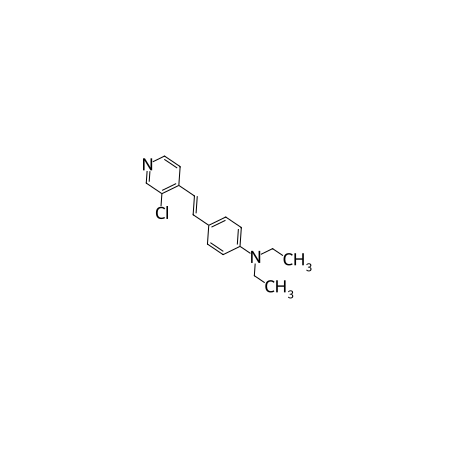 CCN(CC)c1ccc(/C=C/c2ccncc2Cl)cc1